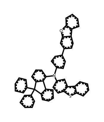 c1ccc(C2(c3ccccc3)c3ccccc3-c3c(N(c4ccc(-c5ccc6c(c5)oc5ccccc56)cc4)c4ccc5sc6ccccc6c5c4)cccc32)cc1